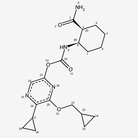 NC(=O)[C@H]1CCCC[C@H]1NC(=O)Oc1cnc(C2CC2)c(OCC2CC2)n1